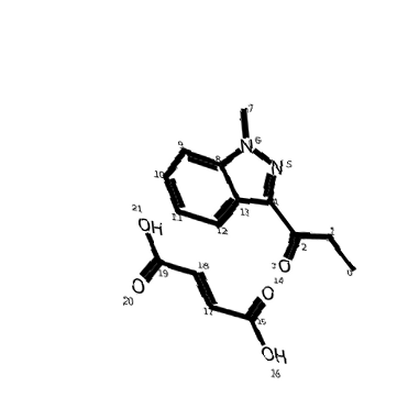 CCC(=O)c1nn(C)c2ccccc12.O=C(O)/C=C/C(=O)O